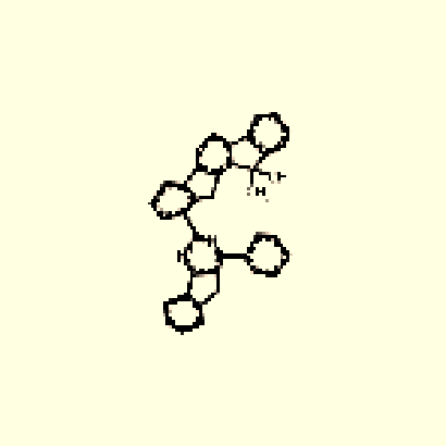 CC1(C)c2ccccc2-c2ccc3c(c21)Cc1c(-c2nc(-c4ccccc4)c4c(n2)-c2ccccc2C4)cccc1-3